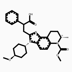 COC(=O)N1c2ccc3c(nc(CC(C(=O)O)c4ccccc4)n3[C@H]3CC[C@H](OC)CC3)c2CC[C@@H]1C